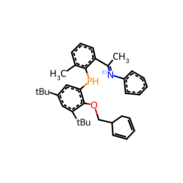 C/C(=N\c1ccccc1)c1cccc(C)c1Pc1cc(C(C)(C)C)cc(C(C)(C)C)c1OCC1C=CC=CC1